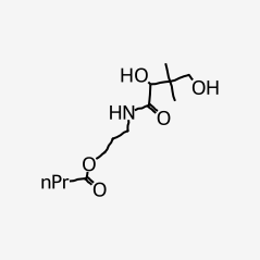 CCCC(=O)OCCCNC(=O)C(O)C(C)(C)CO